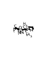 CC(C)(c1nnc(C(F)F)o1)n1c[c]cn1